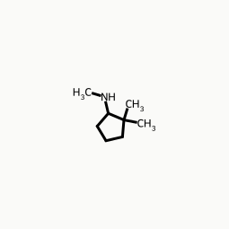 CNC1CCCC1(C)C